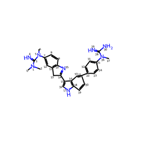 CN(C)C(=N)N(C)c1ccc2c(c1)CC(c1c[nH]c3ccc(-c4ccc(N(C)C(=N)N)cc4)cc13)=N2